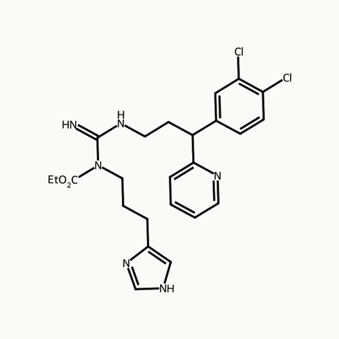 CCOC(=O)N(CCCc1c[nH]cn1)C(=N)NCCC(c1ccc(Cl)c(Cl)c1)c1ccccn1